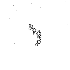 COc1ccc(Cn2cc3cnc([C@H]4CCN(C(=O)OC(C)(C)C)C[C@H]4F)nc3n2)cc1